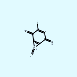 [N-]=[N+]1C2=C1C(=O)C(I)=CC2=O